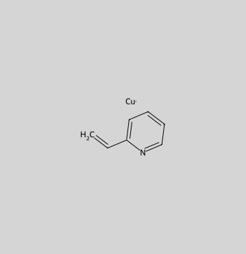 C=Cc1ccccn1.[Cu]